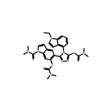 CCn1ccc2c(-n3c(SC(=O)N(C)C)nnc3-c3cc4ccn(C(=O)N(C)C)c4cc3OC(=O)N(C)C)cccc21